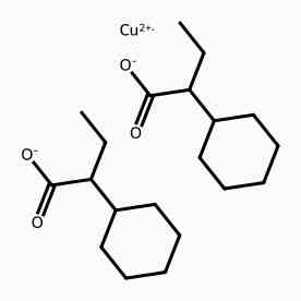 CCC(C(=O)[O-])C1CCCCC1.CCC(C(=O)[O-])C1CCCCC1.[Cu+2]